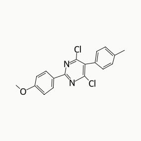 COc1ccc(-c2nc(Cl)c(-c3ccc(C)cc3)c(Cl)n2)cc1